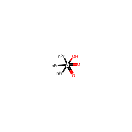 CC[CH2][V](=[O])(=[O])([OH])([CH2]CC)[CH2]CC